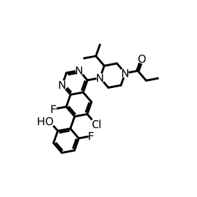 CCC(=O)N1CCN(c2ncnc3c(F)c(-c4c(O)cccc4F)c(Cl)cc23)C(C(C)C)C1